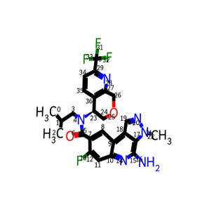 CC(C)CN(C(=O)c1cc2c(cc1F)nc(N)c1c2cnn1C)[C@@H]1COCc2nc(C(F)(F)F)ccc21